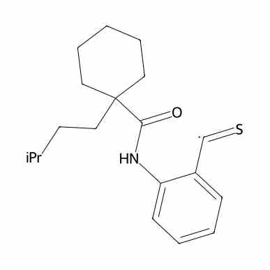 CC(C)CCC1(C(=O)Nc2ccccc2[C]=S)CCCCC1